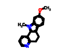 COc1ccc2c3c(n(C)c2c1)-c1cccnc1CC3